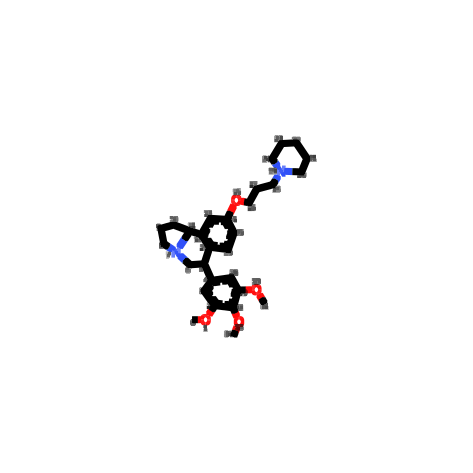 COc1cc(C2CN3CCCC3c3cc(OCCCN4CCCCC4)ccc32)cc(OC)c1OC